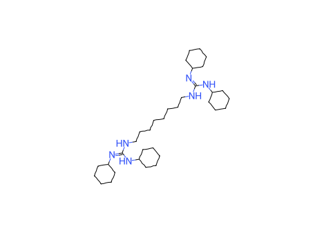 C(CCCCNC(=NC1CCCCC1)NC1CCCCC1)CCCNC(=NC1CCCCC1)NC1CCCCC1